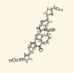 CCCCCCCCc1ccc(-c2cc3c(nc4c5sc6c7c(ccc(c(=O)n34)c57)c(=O)n3c4cc(-c5ccc(CCCCCCCC)s5)sc4nc63)s2)s1